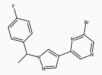 CC(c1ccc(F)cc1)n1cc(-c2cncc(Br)n2)cn1